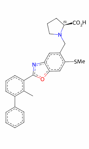 CSc1cc2oc(-c3cccc(-c4ccccc4)c3C)nc2cc1CN1CCC[C@H]1C(=O)O